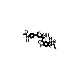 CCCS(=O)(=O)Nc1ccc(F)c(C(=O)c2c[nH]c3ncc(-c4ccc(NC(C)=O)cc4)cc23)c1F